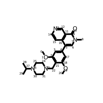 COc1cc(-c2cn(C)c(=O)c3cnccc23)cc(OC)c1CN1CCN(C(C)C)CC1